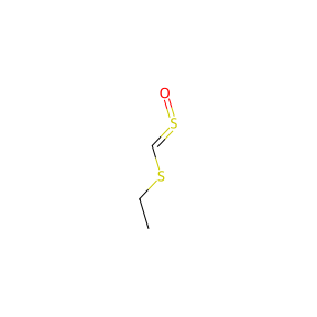 CCSC=S=O